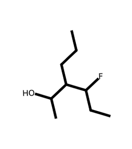 CCCC(C(C)O)C(F)CC